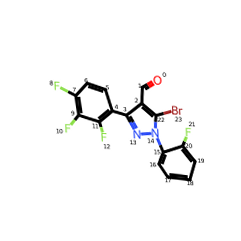 O=Cc1c(-c2ccc(F)c(F)c2F)nn(-c2ccccc2F)c1Br